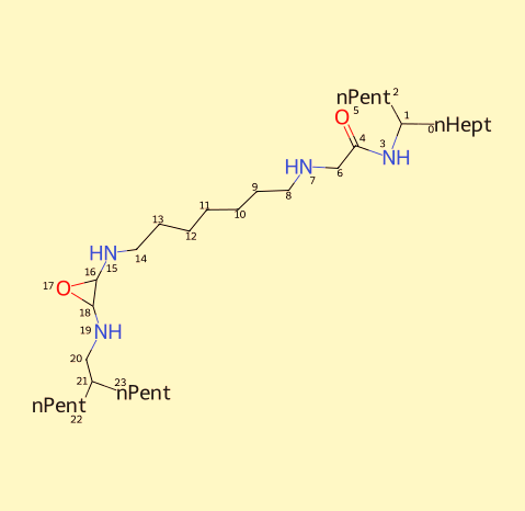 CCCCCCCC(CCCCC)NC(=O)CNCCCCCCCNC1OC1NCC(CCCCC)CCCCC